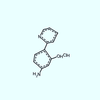 Cl.Nc1ccc(-c2ccccn2)c(O)c1